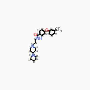 O=C(NCCCN1CCC(N2CCCCC2)CC1)c1ccc(Oc2cccc(C(F)(F)F)c2)cc1